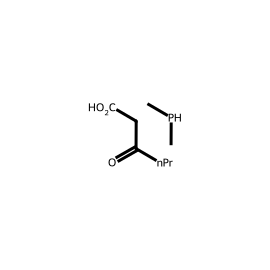 CCCC(=O)CC(=O)O.CPC